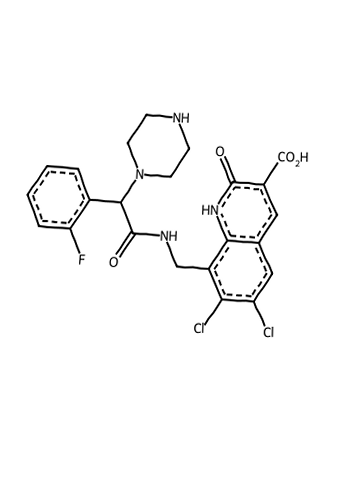 O=C(O)c1cc2cc(Cl)c(Cl)c(CNC(=O)C(c3ccccc3F)N3CCNCC3)c2[nH]c1=O